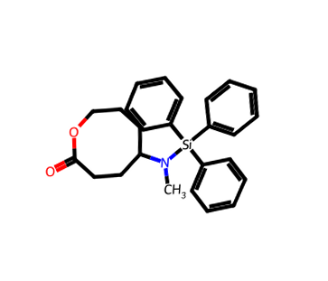 CN(C1CCCOC(=O)CC1)[Si](c1ccccc1)(c1ccccc1)c1ccccc1